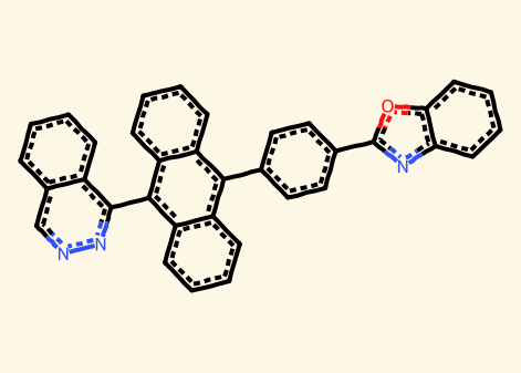 c1ccc2c(-c3c4ccccc4c(-c4ccc(-c5nc6ccccc6o5)cc4)c4ccccc34)nncc2c1